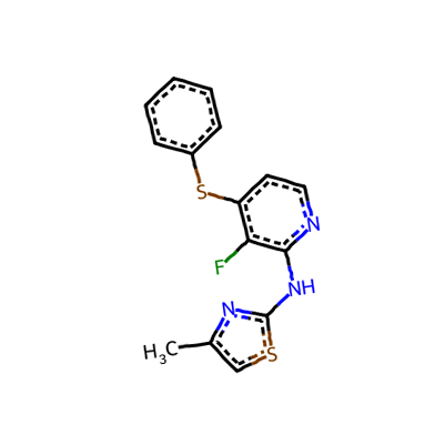 Cc1csc(Nc2nccc(Sc3ccccc3)c2F)n1